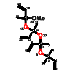 C=C[Si](C)(C)O[Si](C)(C=C)O[Si](C)(C=C)O[Si](C)(C=C)OC